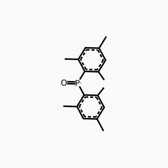 Cc1cc(C)c([P](=O)c2c(C)cc(C)cc2C)c(C)c1